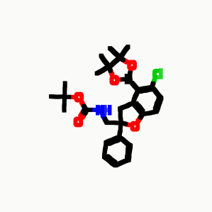 CC(C)(C)OC(=O)NCC1(c2ccccc2)Cc2c(ccc(Cl)c2B2OC(C)(C)C(C)(C)O2)O1